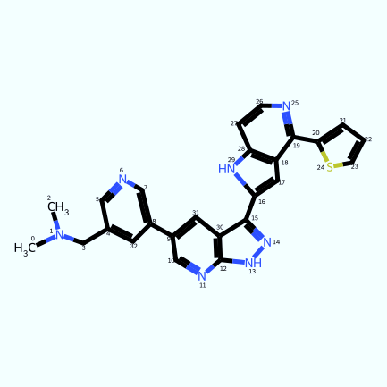 CN(C)Cc1cncc(-c2cnc3[nH]nc(-c4cc5c(-c6cccs6)nccc5[nH]4)c3c2)c1